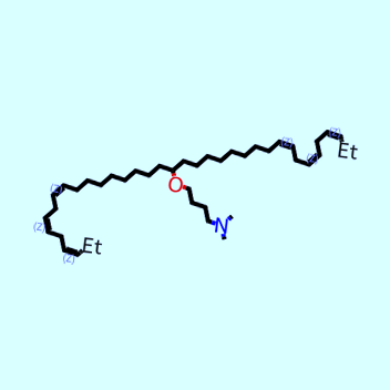 CC/C=C\C/C=C\C/C=C\CCCCCCCCC(CCCCCCCC/C=C\C/C=C\C/C=C\CC)OCCCCN(C)C